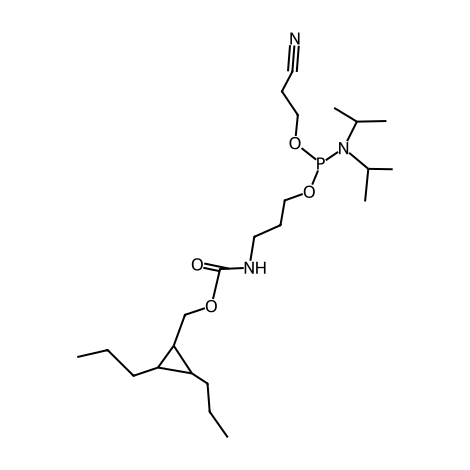 CCCC1C(CCC)C1COC(=O)NCCCOP(OCCC#N)N(C(C)C)C(C)C